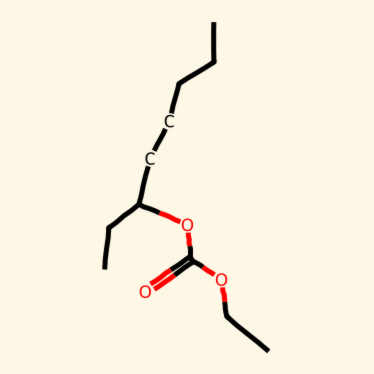 CCCCCC(CC)OC(=O)OCC